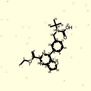 C=C(OCC)c1nc(-c2cccc(CN(C(=O)O)C(C)(C)C)c2)c2occc2n1